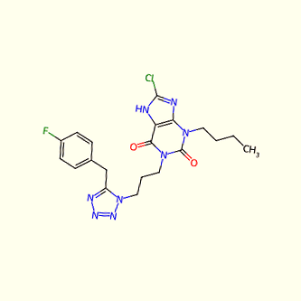 CCCCn1c(=O)n(CCCn2nnnc2Cc2ccc(F)cc2)c(=O)c2[nH]c(Cl)nc21